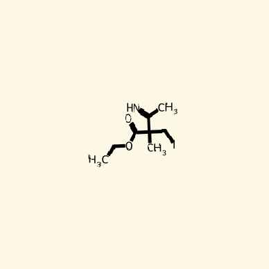 CCOC(=O)C(C)(CI)C(C)=N